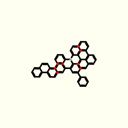 c1ccc(-c2ccc(N(c3cccc(-c4cccc5c4ccc4ccccc45)c3)c3ccccc3-c3cccc4cccc(-c5ccccc5)c34)c(-c3ccccc3)c2)cc1